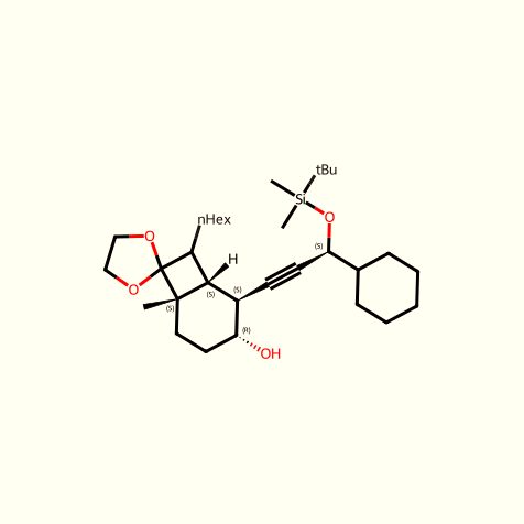 CCCCCCC1[C@@H]2[C@@H](C#C[C@@H](O[Si](C)(C)C(C)(C)C)C3CCCCC3)[C@H](O)CC[C@]2(C)C12OCCO2